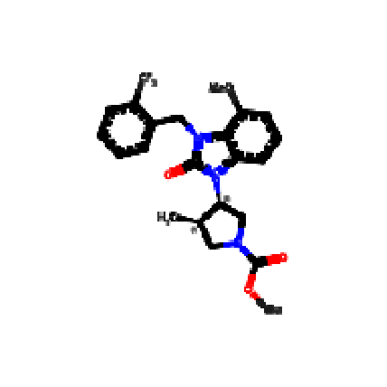 COc1cccc2c1n(Cc1ccccc1C(F)(F)F)c(=O)n2[C@H]1CN(C(=O)OC(C)(C)C)C[C@H]1C